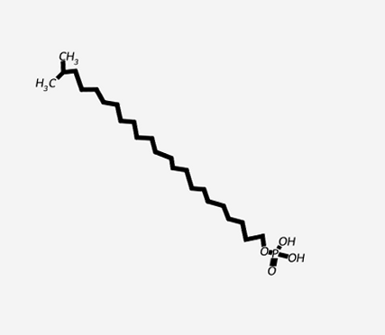 CC(C)CCCCCCCCCCCCCCCCCCCCCOP(=O)(O)O